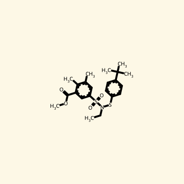 CCN(Sc1ccc(C(C)(C)C)cc1)S(=O)(=O)c1cc(C)c(C)c(C(=O)OC)c1